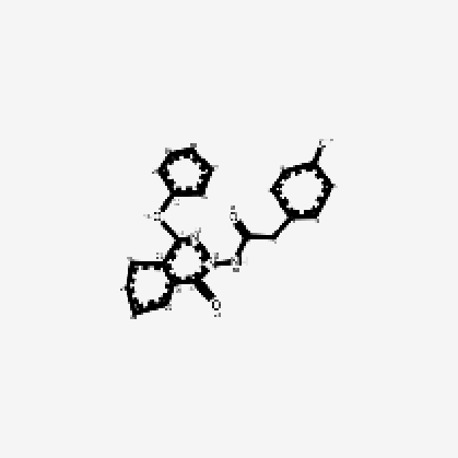 O=C(Cc1ccc(Cl)cc1)Nn1nc(Oc2ccccc2)c2ccccc2c1=O